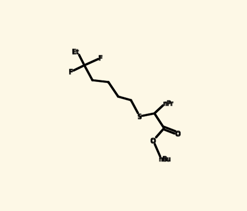 CCCCOC(=O)C(CCC)SCCCCC(F)(F)CC